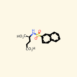 O=C(O)CC[C@H](NS(=O)(=O)c1ccc2ccccc2c1)C(=O)O